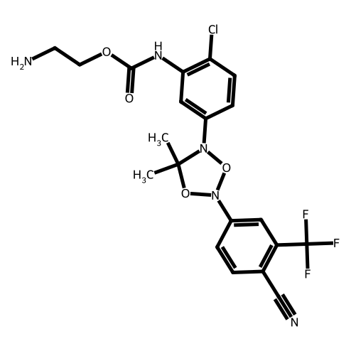 CC1(C)ON(c2ccc(C#N)c(C(F)(F)F)c2)ON1c1ccc(Cl)c(NC(=O)OCCN)c1